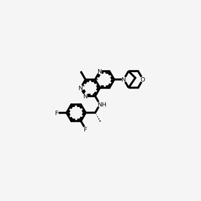 Cc1nnc(N[C@H](C)c2ccc(F)cc2F)c2cc(N3C4COCC3C4)cnc12